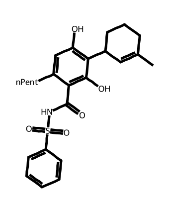 CCCCCc1cc(O)c(C2C=C(C)CCC2)c(O)c1C(=O)NS(=O)(=O)c1ccccc1